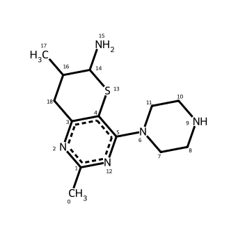 Cc1nc2c(c(N3CCNCC3)n1)SC(N)C(C)C2